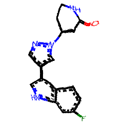 O=C1CC(n2cc(-c3c[nH]c4cc(F)ccc34)cn2)CCN1